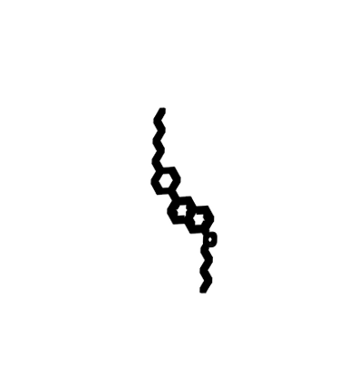 CCCCCCC1CCC(c2ccc3cc(OCCCCC)ccc3c2)CC1